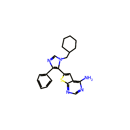 Nc1ncnc2sc(-c3c(-c4ccccc4)ncn3CC3CCCCC3)cc12